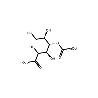 CCCCCCCCC(=O)O[C@@H]([C@H](O)CO)[C@@H](O)C(O)C(=O)CCCCCCCC